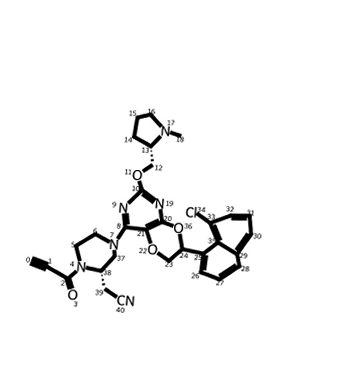 C#CC(=O)N1CCN(c2nc(OC[C@@H]3CCCN3C)nc3c2OCC(c2cccc4cccc(Cl)c24)O3)C[C@@H]1CC#N